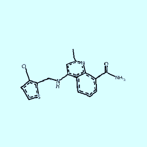 Cc1cc(NCc2sccc2Cl)c2cccc(C(N)=O)c2n1